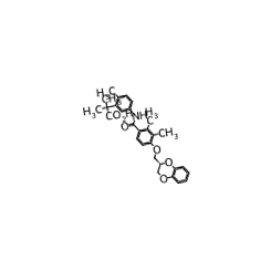 Cc1ccc(NC(=O)c2ccc(OC[C@@H]3COc4ccccc4O3)c(C)c2C)cc1C(C)(C)C(=O)O